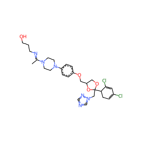 C/C(=N\CCCO)N1CCN(c2ccc(OCC3COC(Cn4cncn4)(C4CC=C(Cl)C=C4Cl)O3)cc2)CC1